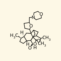 CC(C)C1CC2CC3(C=O)[C@@H]4CC[C@@H](C)[C@H]4CC2(C2CCC(CN4CCOCC4)O2)C13C(=O)O